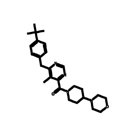 Cc1c(Cc2ccc(C(C)(C)C)cc2)ncnc1C(=O)N1CCC(N2CCOCC2)CC1